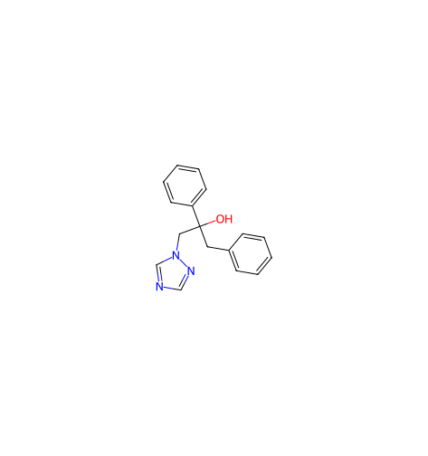 OC(Cc1ccccc1)(Cn1cncn1)c1ccccc1